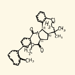 COC(=O)[C@@H]1C[C@H](C(C)(C)C)[C@H](c2ccccc2Cl)N1C(=O)c1ccc(-c2ccccc2C)cc1